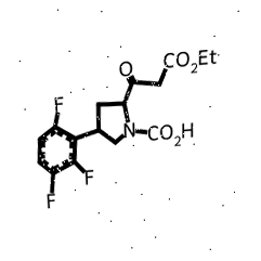 CCOC(=O)CC(=O)C1CC(c2c(F)ccc(F)c2F)CN1C(=O)O